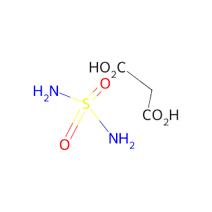 NS(N)(=O)=O.O=C(O)CC(=O)O